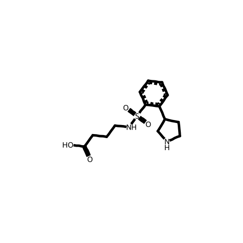 O=C(O)CCCNS(=O)(=O)c1ccccc1C1CCNC1